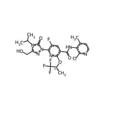 Cc1ccnc(Cl)c1NC(=O)c1cc(F)c(-n2nc(CO)n(C(C)C)c2=O)nc1O[C@@H](C)C(F)(F)F